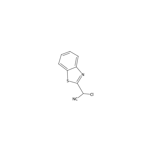 N#CC(Cl)c1nc2ccccc2s1